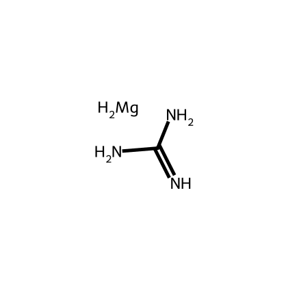 N=C(N)N.[MgH2]